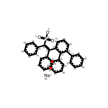 O=S(=O)([O-])C(=C(c1ccccc1)c1cccc(-c2ccccc2)c1-c1ccccc1)c1ccccc1.[Na+]